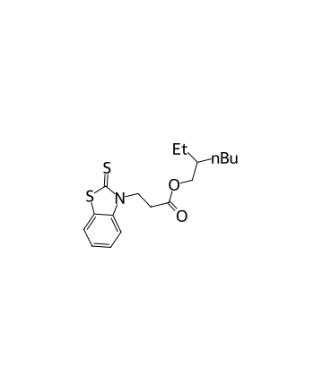 CCCCC(CC)COC(=O)CCn1c(=S)sc2ccccc21